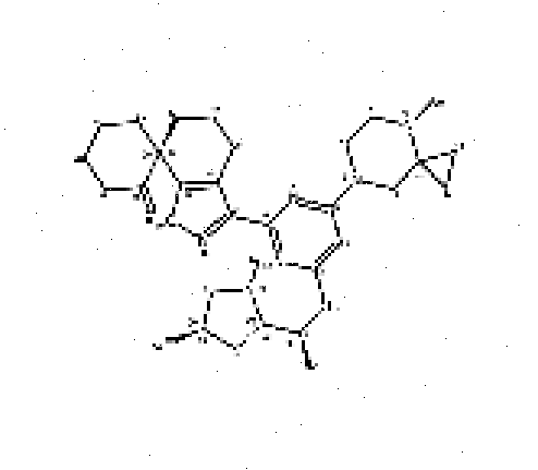 C[C@H](Oc1cc(N2CCN(C)C3(CC3)C2)nc(-c2noc3c2CCC[C@@]32CCCCC2=O)n1)[C@@H]1C[C@@H](F)CN1C